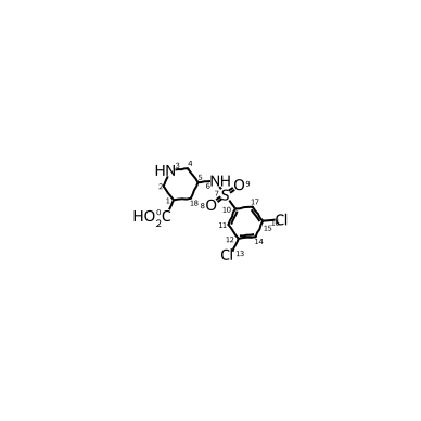 O=C(O)C1CNCC(NS(=O)(=O)c2cc(Cl)cc(Cl)c2)C1